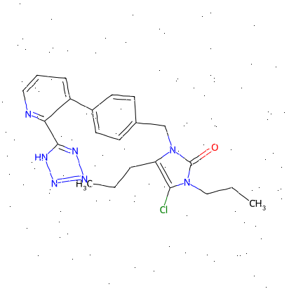 CCCc1c(Cl)n(CCC)c(=O)n1Cc1ccc(-c2cccnc2-c2nnn[nH]2)cc1